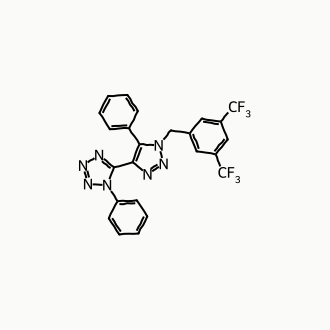 FC(F)(F)c1cc(Cn2nnc(-c3nnnn3-c3ccccc3)c2-c2ccccc2)cc(C(F)(F)F)c1